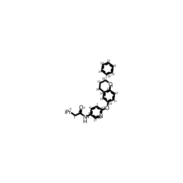 CC(C)[CH]C(=O)Nc1ccc(Oc2ccc3c(c2)CC[C@H](c2ccccc2)O3)nc1